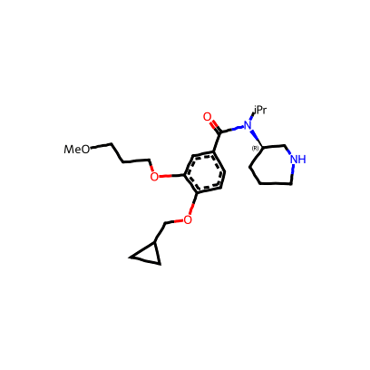 COCCCOc1cc(C(=O)N(C(C)C)[C@@H]2CCCNC2)ccc1OCC1CC1